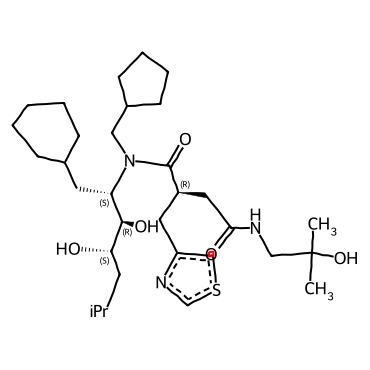 CC(C)C[C@H](O)[C@H](O)[C@H](CC1CCCCC1)N(CC1CCCC1)C(=O)[C@@H](CC(=O)NCC(C)(C)O)Cc1cscn1